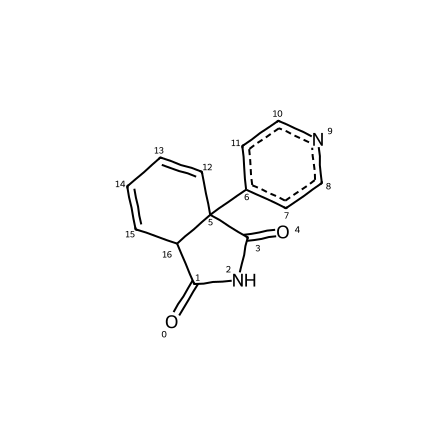 O=C1NC(=O)C2(c3ccncc3)C=CC=CC12